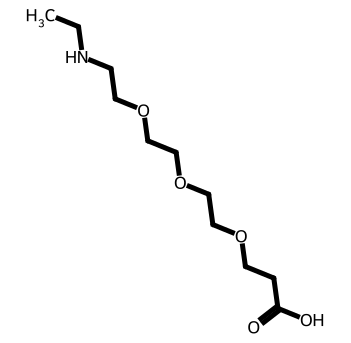 CCNCCOCCOCCOCCC(=O)O